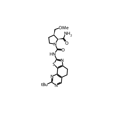 COC[C@@H]1CCN(C(=O)Nc2nc3c(s2)-c2nc(C(C)(C)C)ncc2CC3)[C@@H]1C(N)=O